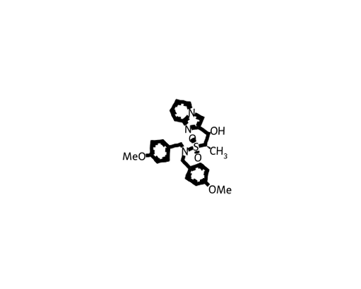 COc1ccc(CN(Cc2ccc(OC)cc2)S(=O)(=O)[C@@H](C)[C@@H](O)c2cn3ccccc3n2)cc1